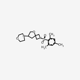 Cc1cc(C)c(S(=O)(=O)N2CC3(CC(N4CCOCC4)CO3)C2)c(C)c1